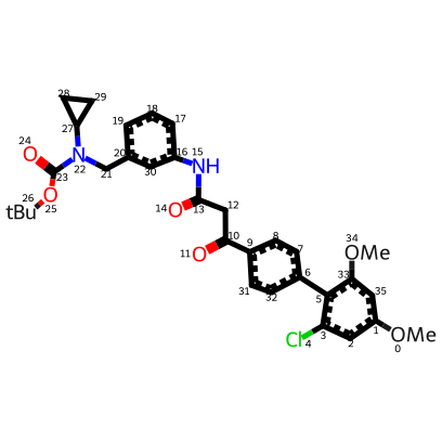 COc1cc(Cl)c(-c2ccc(C(=O)CC(=O)Nc3cccc(CN(C(=O)OC(C)(C)C)C4CC4)c3)cc2)c(OC)c1